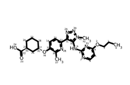 CCCOc1ccnc(Nc2c(-c3ccc(O[C@H]4CCC[C@H](C(=O)O)C4)c(C)n3)nnn2C)n1